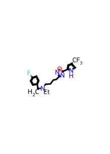 C=C(c1ccc(F)cc1)N(CC)CCCCc1noc(-c2cc(C(F)(F)F)c[nH]2)n1